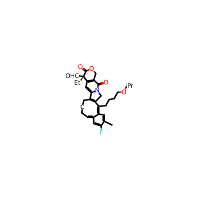 CC[C@@]1(C=O)C(=O)OCc2c1cc1n(c2=O)CC2=C1CCC/C=c1/cc(F)c(C)c/c1=C/2CCCCOC(C)C